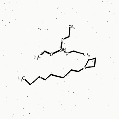 CCCCCCCCN1CCC1.CCO[SiH](OCC)OCC